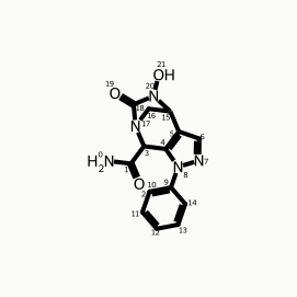 NC(=O)C1c2c(cnn2-c2ccccc2)C2CN1C(=O)N2O